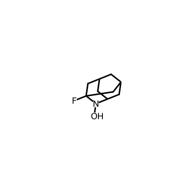 ON1C2CC3CC(C2)CC1(F)C3